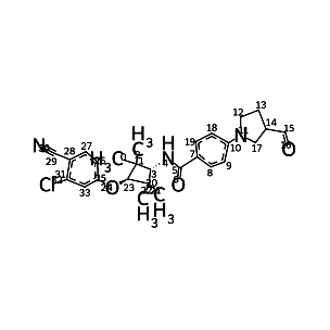 CC1(C)[C@H](NC(=O)c2ccc(N3CCC(C=O)C3)cc2)C(C)(C)[C@H]1Oc1ccc(C#N)c(Cl)c1